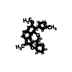 COc1cc2ncc3c4c2c(c1-c1cnn(C)c1)OCC(c1ccccn1)n4c(=O)n3C